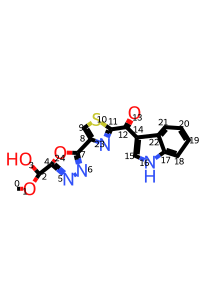 COC(O)c1nnc(-c2csc(C(=O)c3c[nH]c4ccccc34)n2)o1